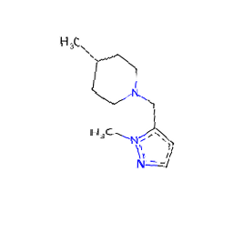 CC1CCN(Cc2ccnn2C)CC1